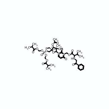 CC(=O)O[C@@H]1[C@@](CF)(COP(=O)(OCOC(=O)C(C)C)OCOC(=O)C(C)C)OC(n2ccc(=O)n(COC(=O)C(NCC(=O)c3ccccc3)C(C)C)c2=O)[C@]1(C)O